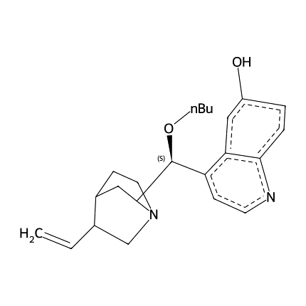 C=CC1CN2CCC1CC2[C@@H](OCCCC)c1ccnc2ccc(O)cc12